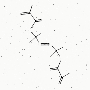 C=C(C)C(=O)OC(C)(C)N=NC(C)(C)OC(=O)C(=C)C